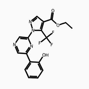 CCOC(=O)c1cnn(-c2cncc(-c3ccccc3O)n2)c1C(F)(F)F